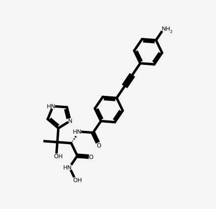 CC(O)(c1c[nH]cn1)[C@H](NC(=O)c1ccc(C#Cc2ccc(N)cc2)cc1)C(=O)NO